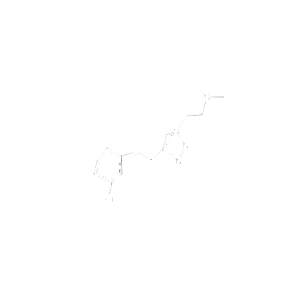 CN(C)CCn1cc(CSc2cccc(C(F)(F)F)c2)nn1